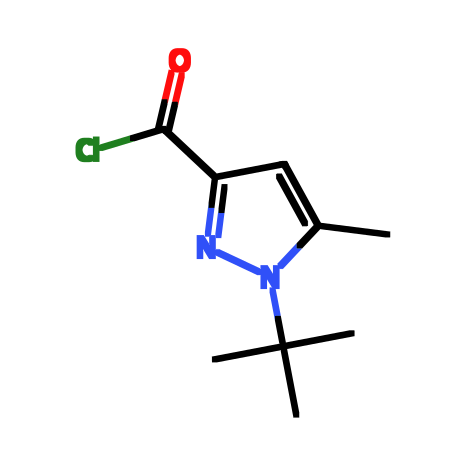 Cc1cc(C(=O)Cl)nn1C(C)(C)C